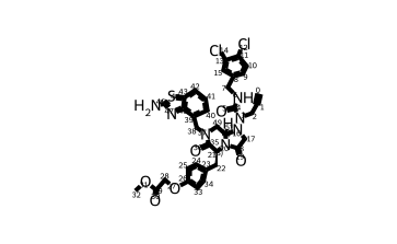 C#CCN(C(=O)NCc1ccc(Cl)c(Cl)c1)N1CC(=O)N2[C@@H](Cc3ccc(OCC(=O)OC)cc3)C(=O)N(Cc3cccc4sc(N)nc34)C[C@@H]21